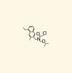 CCc1cccc2cc(CN(COC(C)C)C(=O)CCl)c(C)cc12